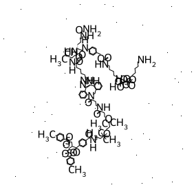 Cc1ccc(S(=O)(=O)CC(CS(=O)(=O)c2ccc(C)cc2)C(=O)c2ccc(C(=O)NCCC(C)(C)OCCC(C)(C)OCCC(=O)NCCC(=O)N3Cc4ccccc4/C(NCCCCCC(=O)N[C@@H](C(=O)N[C@H](CCCNC(N)=O)C(=O)Nc4ccc(COC(=O)NCCCCCOP(=O)(O)OP(=O)(O)OCCCCCN)cc4)C(C)C)=C(/N=N)c4ccccc43)cc2)cc1